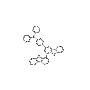 c1ccc(N(c2ccccc2)c2ccc(-c3cc(-c4cccc5c4oc4ccccc45)c4sc5ccccc5c4c3)cc2)cc1